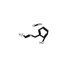 CC=NCc1ccccc1O.[Cl][Mn]